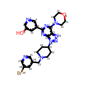 Oc1cncc(-c2nc(N3CCOCC3)c3nnn(C4CCN(Cc5cncc(Br)c5)CC4)c3n2)c1